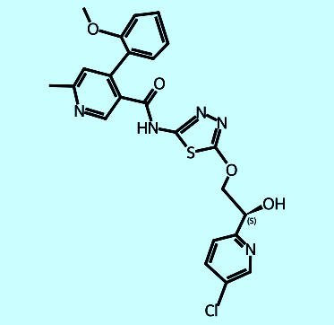 COc1ccccc1-c1cc(C)ncc1C(=O)Nc1nnc(OC[C@@H](O)c2ccc(Cl)cn2)s1